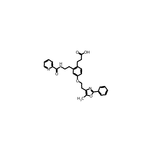 Cc1oc(-c2ccccc2)nc1CCOc1ccc(CCC(=O)O)c(CCNC(=O)c2ccccn2)c1